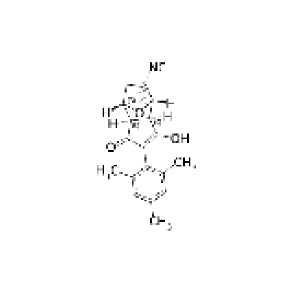 [C-]#[N+][C@H]1C[C@@H]2O[C@H]1[C@H]1C(O)=C(c3c(C)cc(C)cc3C)C(=O)[C@H]12